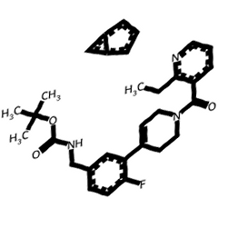 CCc1ncccc1C(=O)N1CC=C(c2cc(CNC(=O)OC(C)(C)C)ccc2F)CC1.c1cc2cc-2c1